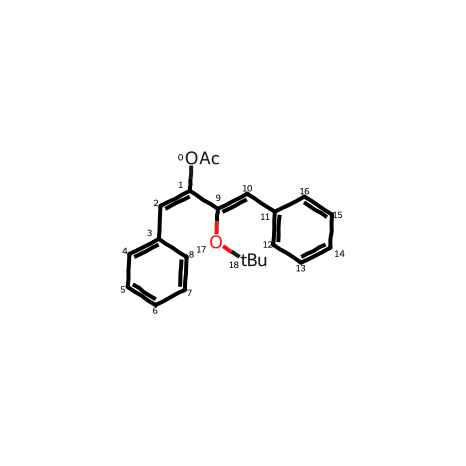 CC(=O)OC(=Cc1ccccc1)C(=Cc1ccccc1)OC(C)(C)C